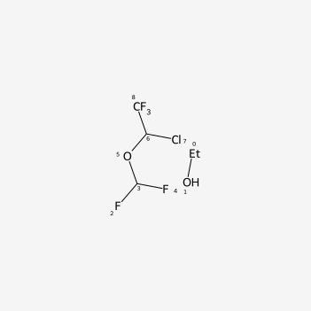 CCO.FC(F)OC(Cl)C(F)(F)F